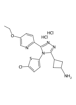 CCOc1ccc(-c2nnc(C3CC(N)C3)n2-c2ccc(Cl)s2)nc1.Cl.Cl